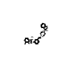 Cc1cccc(C(=O)Nc2cccc(CCN3CCN(c4nsc5ccccc45)CC3)c2)c1C